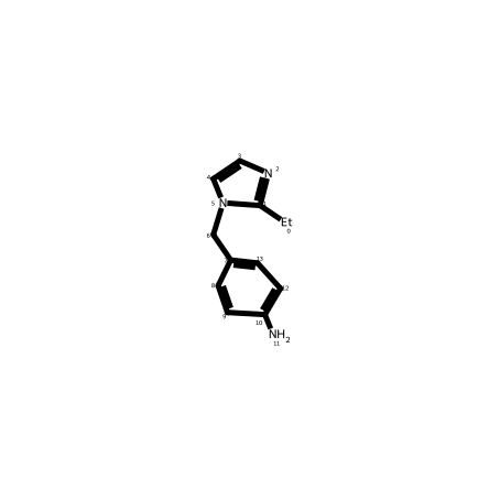 CCc1nccn1Cc1ccc(N)cc1